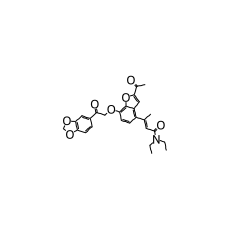 CCN(CC)C(=O)/C=C(\C)c1ccc(OCC(=O)c2ccc3c(c2)OCO3)c2oc(C(C)=O)cc12